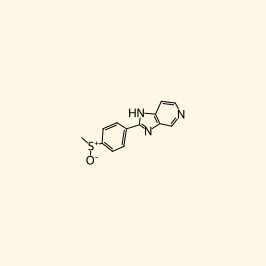 C[S+]([O-])c1ccc(-c2nc3cnccc3[nH]2)cc1